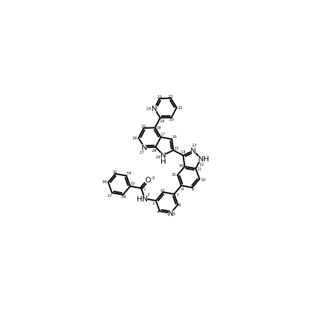 O=C(Nc1cncc(-c2ccc3[nH]nc(-c4cc5c(-c6ccccn6)ccnc5[nH]4)c3c2)c1)c1ccccc1